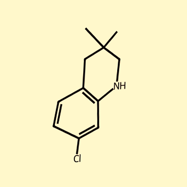 CC1(C)CNc2cc(Cl)ccc2C1